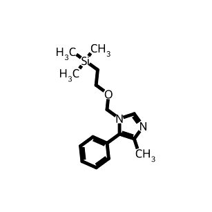 Cc1ncn(COCC[Si](C)(C)C)c1-c1ccccc1